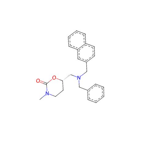 CN1CC[C@@H](CN(Cc2ccccc2)Cc2ccc3ccccc3c2)OC1=O